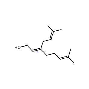 CC(C)=CCC/C(=C/CO)CC=C(C)C